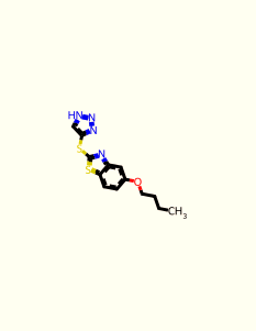 CCCCOc1ccc2sc(Sc3c[nH]nn3)nc2c1